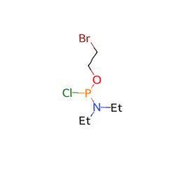 CCN(CC)P(Cl)OCCBr